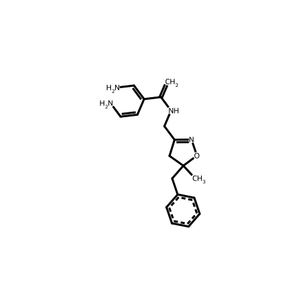 C=C(NCC1=NOC(C)(Cc2ccccc2)C1)C(/C=C\N)=C/N